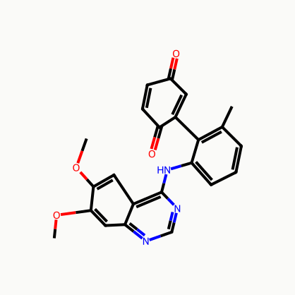 COc1cc2ncnc(Nc3cccc(C)c3C3=CC(=O)C=CC3=O)c2cc1OC